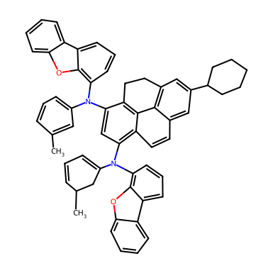 Cc1cccc(N(c2cc(N(C3=CC=CC(C)C3)c3cccc4c3oc3ccccc34)c3ccc4cc(C5CCCCC5)cc5c4c3c2CC5)c2cccc3c2oc2ccccc23)c1